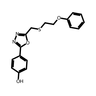 Oc1ccc(-c2nnc(CSCCOc3ccccc3)o2)cc1